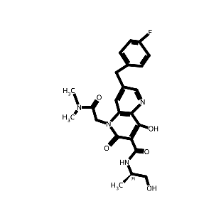 C[C@H](CO)NC(=O)c1c(O)c2ncc(Cc3ccc(F)cc3)cc2n(CC(=O)N(C)C)c1=O